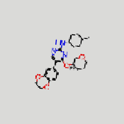 C[C@H]1CC[C@H](Nc2ncc(-c3ccc4c(c3)OCCO4)c(O[C@@H]3CCCOC3)n2)CC1